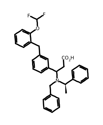 C[C@H](c1ccccc1)N(Cc1ccccc1)C(CC(=O)O)c1cccc(Cc2ccccc2OC(F)F)c1